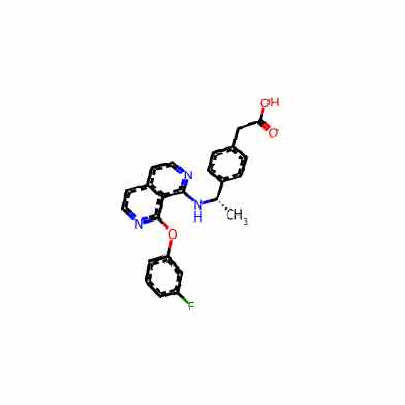 C[C@H](Nc1nccc2ccnc(Oc3cccc(F)c3)c12)c1ccc(CC(=O)O)cc1